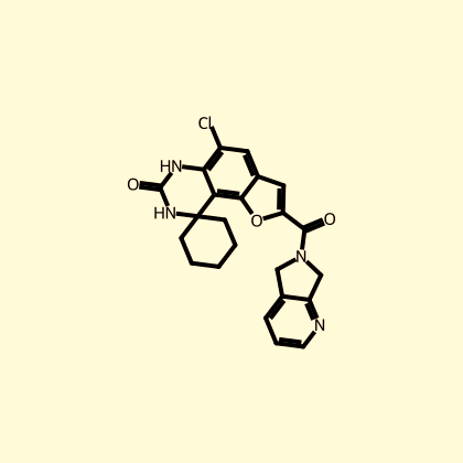 O=C1Nc2c(Cl)cc3cc(C(=O)N4Cc5cccnc5C4)oc3c2C2(CCCCC2)N1